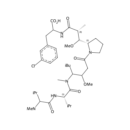 CCC(C)C(C(CC(=O)N1CCC[C@H]1C(OC)[C@@H](C)C(=O)NC(Cc1cccc(Cl)c1)C(=O)O)OC)N(C)C(=O)[C@@H](NC(=O)C(NC)C(C)C)C(C)C